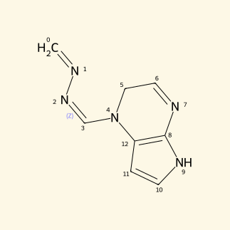 C=N/N=C\N1CC=Nc2[nH]ccc21